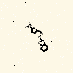 O=[N+]([O-])c1ccc(/C=N\Nc2nc3ccccc3s2)o1